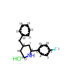 Cl.Fc1ccc(C2CC(Cc3ccccc3)CCN2)cc1